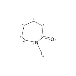 O=C1CCCCCN1I